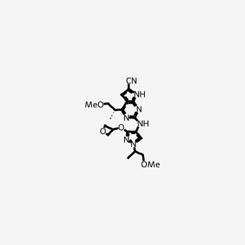 COCC(C)n1cc(Nc2nc([C@H](C)COC)c3cc(C#N)[nH]c3n2)c(OC2COC2)n1